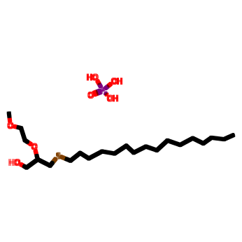 CCCCCCCCCCCCCCCCSCC(CO)OCCOC.O=P(O)(O)O